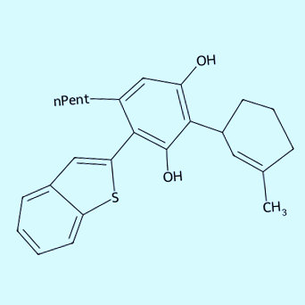 CCCCCc1cc(O)c(C2C=C(C)CCC2)c(O)c1-c1cc2ccccc2s1